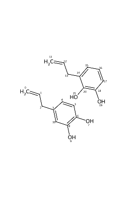 C=CCc1ccc(O)c(O)c1.C=CCc1cccc(O)c1O